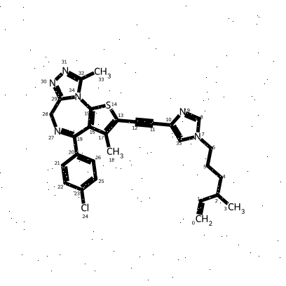 C=CC(C)CCCn1cnc(C#Cc2sc3c(c2C)C(c2ccc(Cl)cc2)=NCc2nnc(C)n2-3)c1